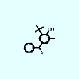 Cc1cc(C([S])c2ccccc2)cc(C(C)(C)C)c1O